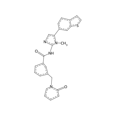 Cn1c(-c2ccc3ccsc3c2)cnc1NC(=O)c1cccc(Cn2ccccc2=O)c1